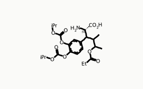 CCC(=O)OC(C)C(C)C(c1ccc(OC(=O)OC(C)C)c(OC(=O)OC(C)C)c1)[C@H](N)C(=O)O